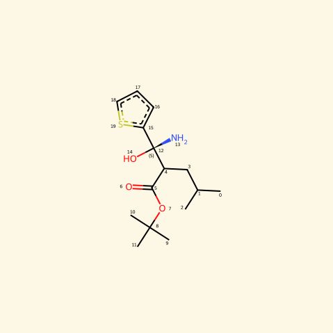 CC(C)CC(C(=O)OC(C)(C)C)[C@](N)(O)c1cccs1